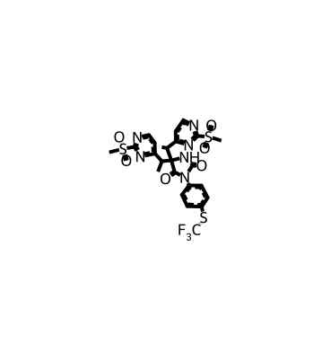 CC(c1ccnc(S(C)(=O)=O)n1)C1(C(C)c2ccnc(S(C)(=O)=O)n2)NC(=O)N(c2ccc(SC(F)(F)F)cc2)C1=O